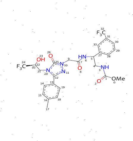 COC(=O)NCC(NC(=O)Cn1nc(-c2ccc(C)cc2)n(C[C@H](O)C(F)(F)F)c1=O)c1cccc(C(F)(F)F)c1